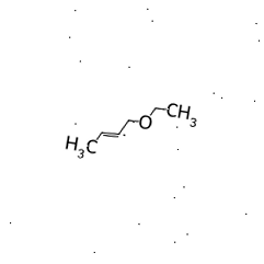 C/C=[C]/COCC